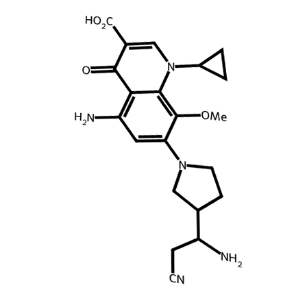 COc1c(N2CCC(C(N)CC#N)C2)cc(N)c2c(=O)c(C(=O)O)cn(C3CC3)c12